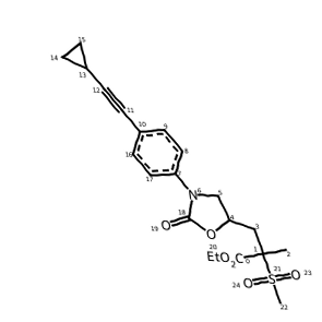 CCOC(=O)C(C)(CC1CN(c2ccc(C#CC3CC3)cc2)C(=O)O1)S(C)(=O)=O